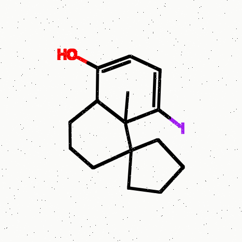 CC12C(I)=CC=C(O)C1CCCC21CCCC1